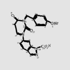 COc1ccc(CN2C(=O)CCN(c3ccc4cnn(C(=O)O)c4c3)C2=O)cc1